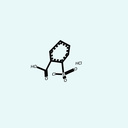 Cl.O=C(O)c1ccccc1S(=O)(=O)Cl